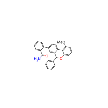 COc1cccc2c1-c1ccc(-c3ccccc3C(N)=O)cc1C(c1ccccc1)O2